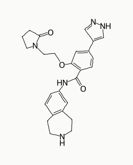 O=C(Nc1ccc2c(c1)CCNCC2)c1ccc(-c2cn[nH]c2)cc1OCCN1CCCC1=O